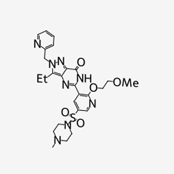 CCc1c2nc(-c3cc(S(=O)(=O)N4CCN(C)CC4)cnc3OCCOC)[nH]c(=O)c2nn1Cc1ccccn1